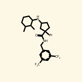 CC1CCCC(NC2CCC(C(=O)NCc3cc(C(F)(F)F)cc(C(F)(F)F)c3)(C(C)C)C2)C1C